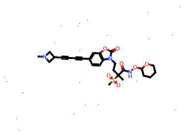 CN1CC(C#CC#Cc2ccc3c(c2)oc(=O)n3CCC(C)(C(=O)NOC2CCCCO2)S(C)(=O)=O)C1